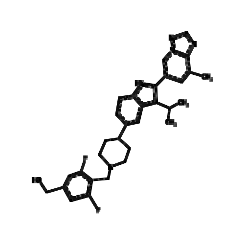 Cc1cc(-c2[nH]c3ccc(C4CCN(Cc5c(F)cc(CO)cc5F)CC4)cc3c2C(C)C)cn2ncnc12